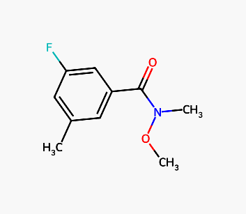 CON(C)C(=O)c1cc(C)cc(F)c1